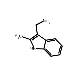 Cc1[nH]c2ccccc2c1CN